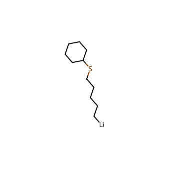 [Li][CH2]CCCCSC1CCCCC1